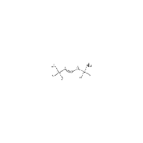 CCCC(C)(C)/C=C/O[Si](C)(C)C(C)(C)C